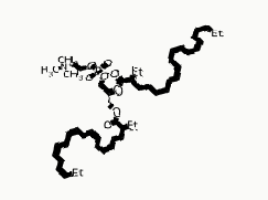 CC/C=C\C/C=C\C/C=C\C/C=C\C/C=C\CCC(CC)C(=O)OC[C@H](COP(=O)([O-])OCC[N+](C)(C)C)OC(=O)C(CC)CC/C=C\C/C=C\C/C=C\C/C=C\C/C=C\CC